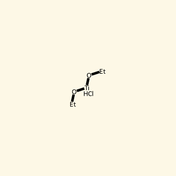 CC[O][Ti][O]CC.Cl